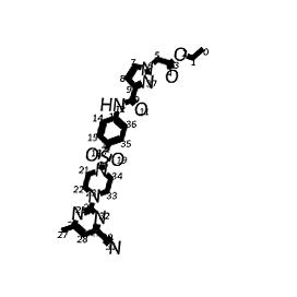 CCOC(=O)Cn1ccc(C(=O)Nc2ccc(S(=O)(=O)N3CCN(c4nc(C)cc(C#N)n4)CC3)cc2)n1